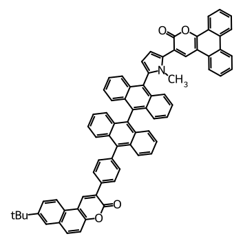 Cn1c(-c2cc3c4ccccc4c4ccccc4c3oc2=O)ccc1-c1c2ccccc2c(-c2c3ccccc3c(-c3ccc(-c4cc5c(ccc6cc(C(C)(C)C)ccc65)oc4=O)cc3)c3ccccc23)c2ccccc12